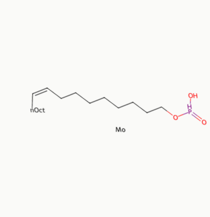 CCCCCCCC/C=C\CCCCCCCCO[PH](=O)O.[Mo]